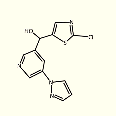 OC(c1cncc(-n2cccn2)c1)c1cnc(Cl)s1